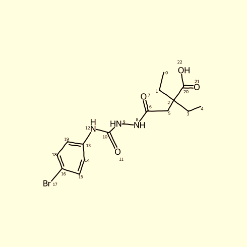 CCC(CC)(CC(=O)NNC(=O)Nc1ccc(Br)cc1)C(=O)O